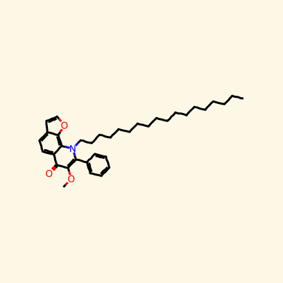 CCCCCCCCCCCCCCCCCCn1c(-c2ccccc2)c(OC)c(=O)c2ccc3ccoc3c21